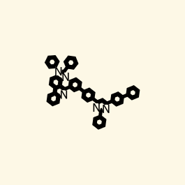 c1ccc(-c2ccc(-c3cc(-c4ccc(-c5cccc(-c6nc7ccccc7c7ccc8c(nc(-c9ccccc9)n8-c8ccccc8)c67)c5)cc4)nc(-c4ccccc4)n3)cc2)cc1